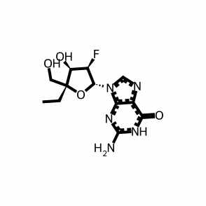 CC[C@]1(CO)O[C@@H](n2cnc3c(=O)[nH]c(N)nc32)[C@H](F)[C@@H]1O